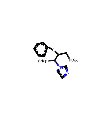 CCCCCCCCCCCC(Cc1ccccc1)C(CCCCCCC)n1ccnc1